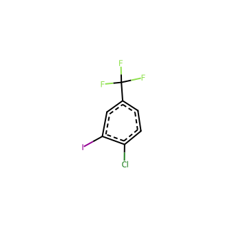 FC(F)(F)c1ccc(Cl)c(I)c1